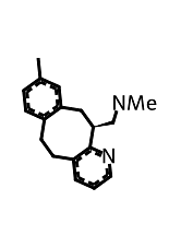 CNC[C@@H]1Cc2cc(C)ccc2CCc2cccnc21